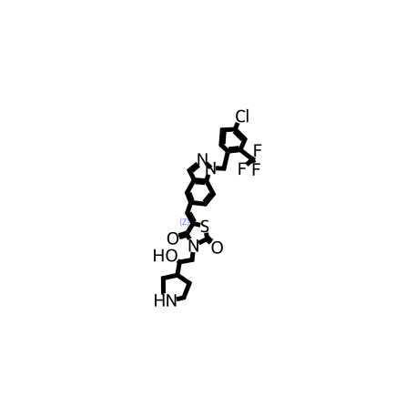 O=C1S/C(=C\c2ccc3c(cnn3Cc3ccc(Cl)cc3C(F)(F)F)c2)C(=O)N1CC(O)C1CCNCC1